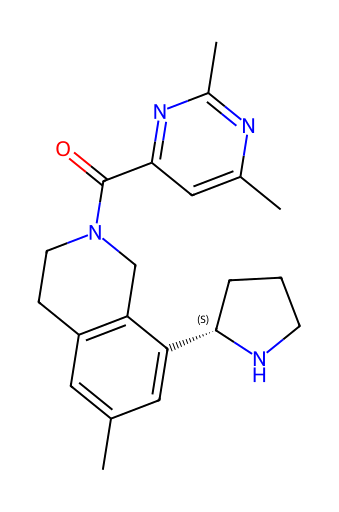 Cc1cc2c(c([C@@H]3CCCN3)c1)CN(C(=O)c1cc(C)nc(C)n1)CC2